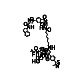 Cc1ncsc1-c1ccc(C(CC(=O)NCCCCCCCC(=O)NCCN(C)C(=O)c2ccc(-c3cc(C(=O)N[C@@H]4CCc5ccccc54)no3)cc2O)NC(=O)[C@@H]2C[C@@H](O)CN2C(=O)C(NC(=O)C2(F)CC2)C(C)(C)C)cc1